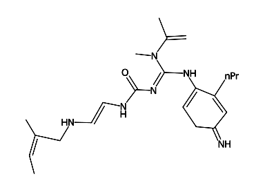 C=C(C)N(C)/C(=N\C(=O)N/C=C/NC/C(C)=C\C)NC1=CCC(=N)C=C1CCC